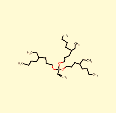 C=C[Si](OCCCC(CC)CCCC)(OCCCC(CC)CCCC)OCCCC(CC)CCCC